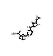 CNC(C)C12CC(CN(c3nccc(Nc4cc(C5CC5)[nH]n4)n3)C1)C2